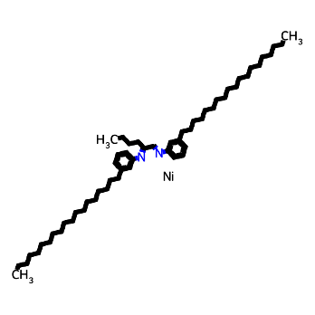 CCCCCCCCCCCCCCCCCCCc1cccc(N=CC(CCCC)=Nc2cccc(CCCCCCCCCCCCCCCCCCC)c2)c1.[Ni]